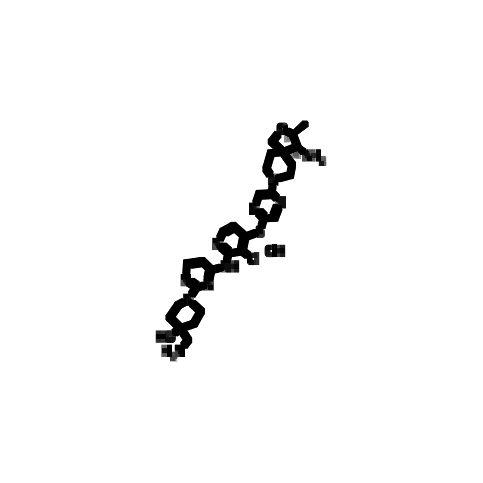 C[C@@H]1OCC2(CCN(c3cnc(Sc4ccnc(Nc5ccnc(N6CCC(O)(CN)CC6)n5)c4Cl)cn3)CC2)[C@@H]1N.Cl